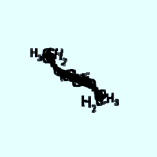 C=C(C)C(=O)OCCCCCCOc1ccc(C(=O)Oc2ccc(OC(=O)c3ccc(OCCCCCCOC(=O)C(=C)C)cc3F)cc2)c(F)c1